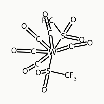 O=[C]=[W](=[C]=O)(=[C]=O)(=[C]=O)(=[C]=O)([S](=O)(=O)C(F)(F)F)[S](=O)(=O)C(F)(F)F